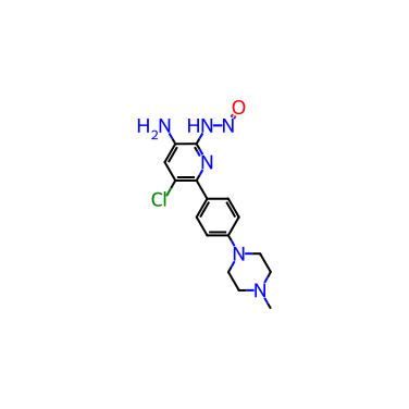 CN1CCN(c2ccc(-c3nc(NN=O)c(N)cc3Cl)cc2)CC1